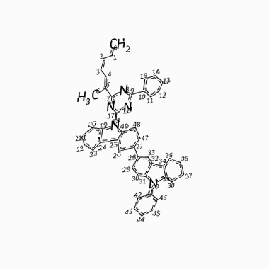 C=C/C=C\C=C(/C)c1nc(-c2ccccc2)nc(-n2c3ccccc3c3cc(-c4ccc5c(c4)c4ccccc4n5-c4ccccc4)ccc32)n1